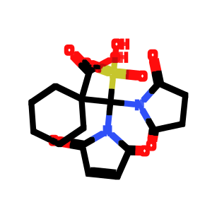 O=C1C=CC(=O)N1C(N1C(=O)CCC1=O)(C1(C(=O)O)CCCCC1)S(=O)(=O)O